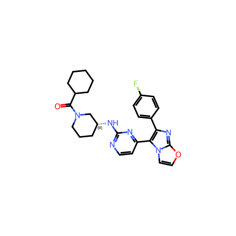 O=C(C1CCCCC1)N1CCC[C@@H](Nc2nccc(-c3c(-c4ccc(F)cc4)nc4occn34)n2)C1